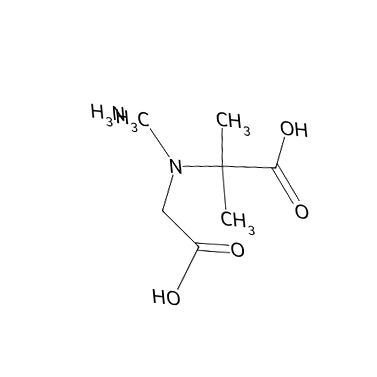 CN(CC(=O)O)C(C)(C)C(=O)O.N